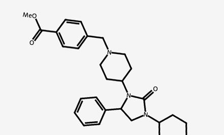 COC(=O)c1ccc(CN2CCC(N3C(=O)N(C4CCCCC4)CC3c3ccccc3)CC2)cc1